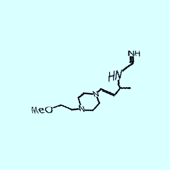 COCCN1CCN(/C=C/C(C)NC=N)CC1